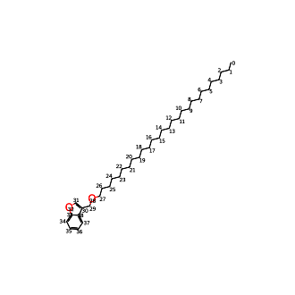 CCCCCCCCCCCCCCCCCCCCCCCCCCCCOCc1coc2ccccc12